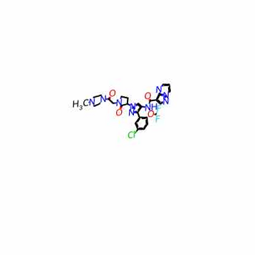 CN1CCN(C(=O)CN2CCC(n3cc(NC(=O)c4cnn5cccnc45)c(-c4cc(Cl)ccc4OC(F)F)n3)C2=O)CC1